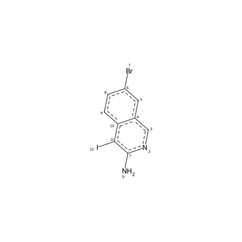 Nc1ncc2cc(Br)ccc2c1I